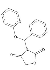 O=C1COC(=O)N1C(Oc1ccccn1)c1ccccc1